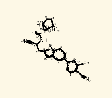 N#Cc1ccc(-c2ccc3oc(CC(C#N)NC(=O)[C@H]4N[C@@H]5CC[C@H]4C5)cc3c2)cc1F